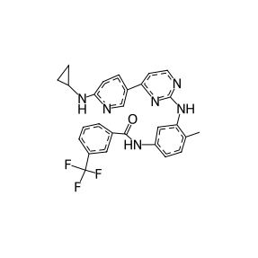 Cc1ccc(NC(=O)c2cccc(C(F)(F)F)c2)cc1Nc1nccc(-c2ccc(NC3CC3)nc2)n1